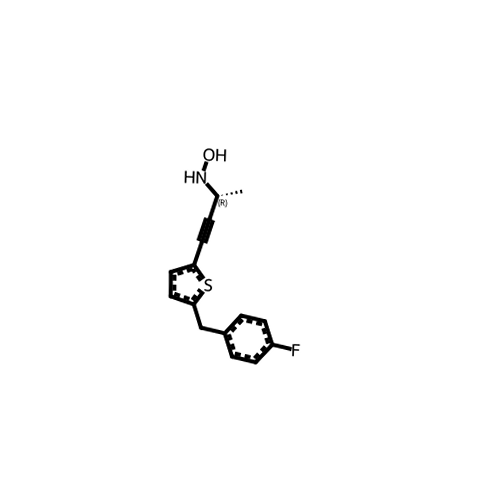 C[C@H](C#Cc1ccc(Cc2ccc(F)cc2)s1)NO